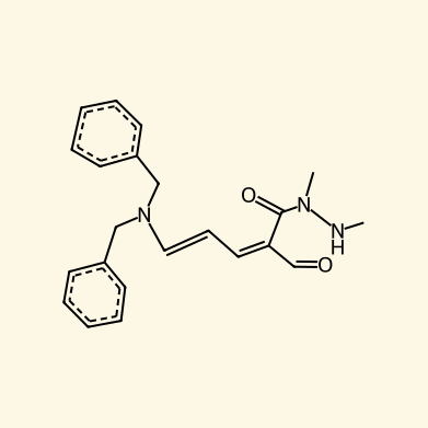 CNN(C)C(=O)/C(C=O)=C\C=C\N(Cc1ccccc1)Cc1ccccc1